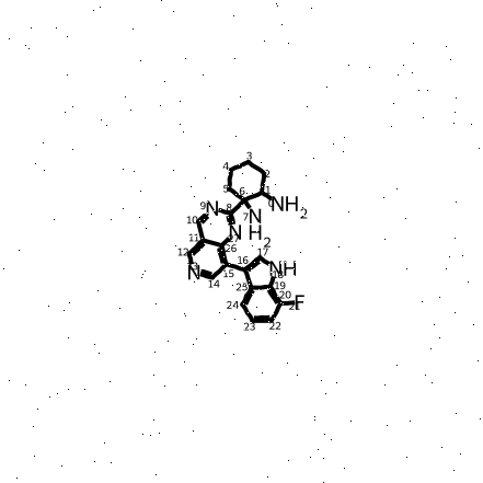 NC1CCCCC1(N)c1ncc2cncc(-c3c[nH]c4c(F)cccc34)c2n1